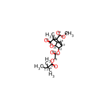 CCC(C)(C)C(=O)OCC(=O)OC1C2CC3C1OC(=O)C3(C)C2C(=O)OC